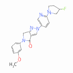 COc1cccc(N2Cc3nn(-c4ccc(N5CC[C@@H](F)C5)nc4)cc3C2=O)c1